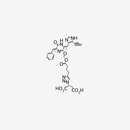 CC(C)(C)c1[nH]cnc1/C=c1\[nH]c(=O)/c(=C/c2ccccc2)nc1OCOC(=O)CCCc1cn(C(CC(=O)O)C(=O)O)nn1